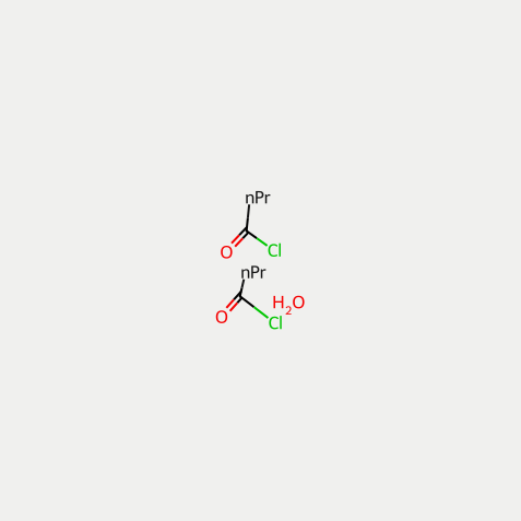 CCCC(=O)Cl.CCCC(=O)Cl.O